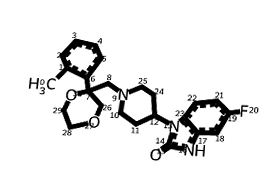 Cc1ccccc1C1(CN2CCC(n3c(=O)[nH]c4cc(F)ccc43)CC2)COCCO1